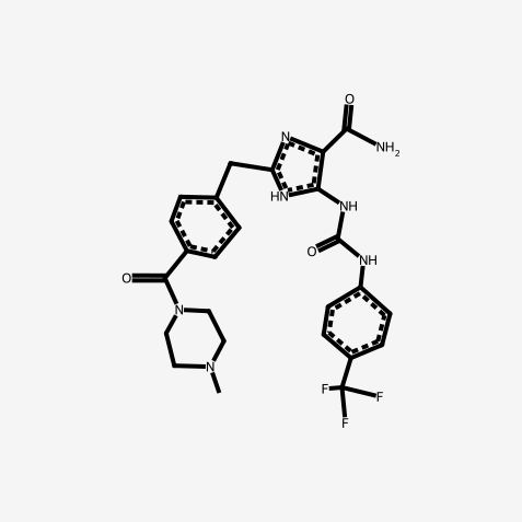 CN1CCN(C(=O)c2ccc(Cc3nc(C(N)=O)c(NC(=O)Nc4ccc(C(F)(F)F)cc4)[nH]3)cc2)CC1